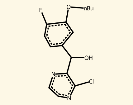 CCCCOc1cc(C(O)c2nccnc2Cl)ccc1F